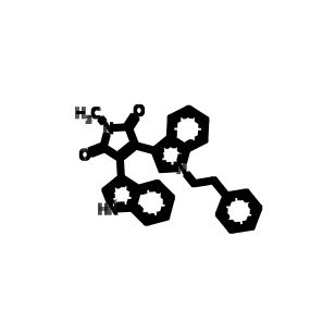 CN1C(=O)C(c2c[nH]c3ccccc23)=C(c2cn(CCc3ccccc3)c3ccccc23)C1=O